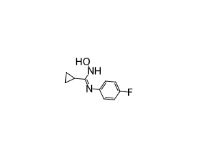 ONC(=Nc1ccc(F)cc1)C1CC1